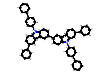 c1ccc(-c2ccc(-n3c4ccc(-c5ccccc5)cc4c4cc(-c5ccc6c(c5)c5ccc(-c7ccccc7)cc5n6-c5ccc(-c6ccccc6)cc5)ccc43)cc2)cc1